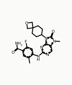 Cc1cc(C(N)=O)c(F)cc1Nc1ncc2c(n1)n(C1CCC3(CC1)COC3)c(=O)n2C